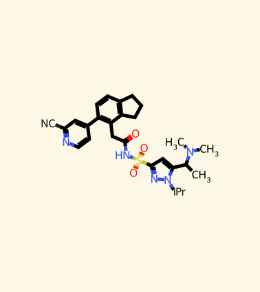 CC(c1cc(S(=O)(=O)NC(=O)Cc2c(-c3ccnc(C#N)c3)ccc3c2CCC3)nn1C(C)C)N(C)C